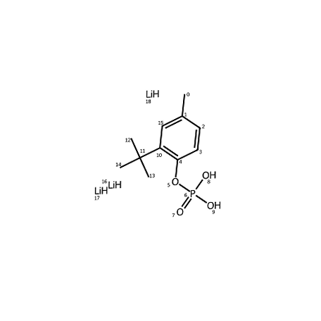 Cc1ccc(OP(=O)(O)O)c(C(C)(C)C)c1.[LiH].[LiH].[LiH]